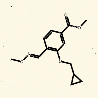 CON=Cc1ccc(C(=O)OC)cc1OCC1CC1